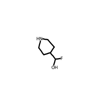 OC(F)C1CCNCC1